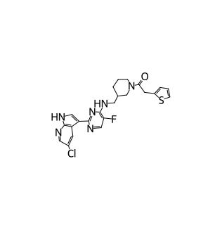 O=C(Cc1cccs1)N1CCCC(CNc2nc(-c3c[nH]c4ncc(Cl)cc34)ncc2F)C1